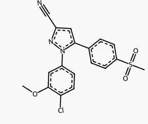 COc1cc(-n2nc(C#N)cc2-c2ccc(S(C)(=O)=O)cc2)ccc1Cl